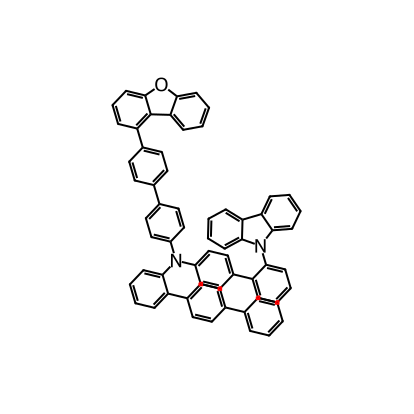 c1ccc(-c2ccc(-c3ccccc3N(c3ccc(-c4ccc(-c5cccc6oc7ccccc7c56)cc4)cc3)c3ccc(-c4ccccc4-n4c5ccccc5c5ccccc54)cc3)cc2)cc1